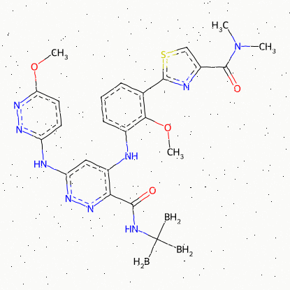 BC(B)(B)NC(=O)c1nnc(Nc2ccc(OC)nn2)cc1Nc1cccc(-c2nc(C(=O)N(C)C)cs2)c1OC